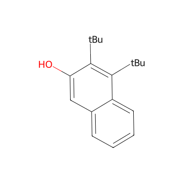 CC(C)(C)c1c(O)cc2ccccc2c1C(C)(C)C